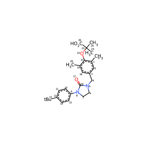 Cc1cc(CN2CCN(c3ccc(C(C)(C)C)cc3)C2=O)cc(C)c1OC(C)(C)C(=O)O